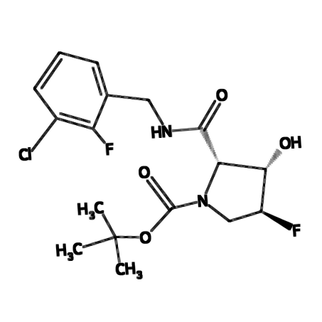 CC(C)(C)OC(=O)N1C[C@H](F)[C@@H](O)[C@H]1C(=O)NCc1cccc(Cl)c1F